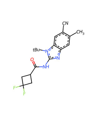 Cc1cc2nc(NC(=O)C3CC(F)(F)C3)n(C(C)(C)C)c2cc1C#N